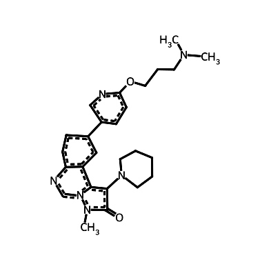 CN(C)CCCOc1ccc(-c2ccc3ncn4c(c(N5CCCCC5)c(=O)n4C)c3c2)cn1